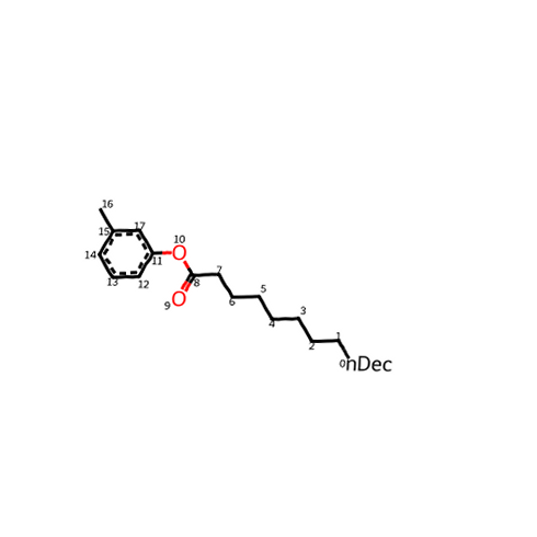 CCCCCCCCCCCCCCCCCC(=O)Oc1cccc(C)c1